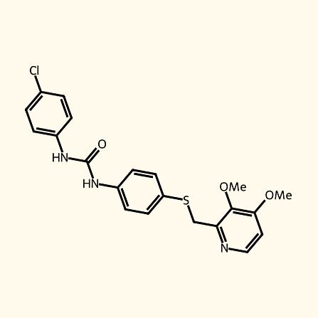 COc1ccnc(CSc2ccc(NC(=O)Nc3ccc(Cl)cc3)cc2)c1OC